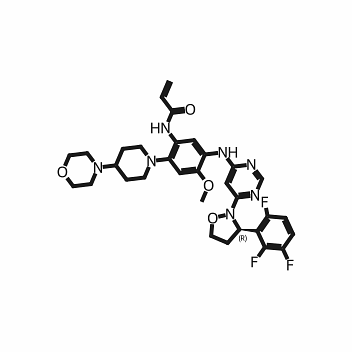 C=CC(=O)Nc1cc(Nc2cc(N3OCC[C@@H]3c3c(F)ccc(F)c3F)ncn2)c(OC)cc1N1CCC(N2CCOCC2)CC1